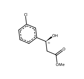 COC(=O)C[C@H](O)c1cccc(Cl)c1